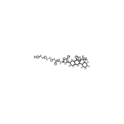 O=C(COCCOCCO)OC[C@@H]1CN(c2ccc3cc(-c4ccccc4C(F)(F)F)[nH]c(=O)c3c2)C(=O)O1